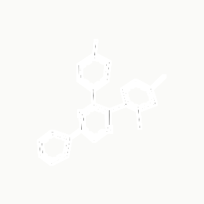 Cc1ccc(-c2nc(-c3ccccc3)cnc2-c2ccc(C)cc2C)cc1